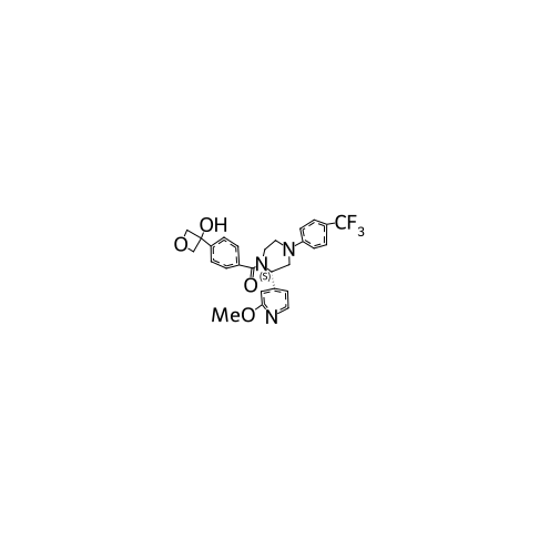 COc1cc([C@H]2CN(c3ccc(C(F)(F)F)cc3)CCN2C(=O)c2ccc(C3(O)COC3)cc2)ccn1